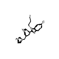 FCCCn1c(-c2cncc(Cn3ccnc3)c2)nc2ccc(Cl)cc21